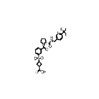 O=C(O)C1CC(S(=O)(=O)c2cccc(C(=O)N3CCC[C@@H]3C(=O)NCc3ccc(C(F)(F)F)nc3)c2)C1